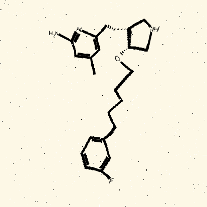 Cc1cc(N)nc(C[C@@H]2CNC[C@@H]2OCCCCCc2cccc(F)c2)c1